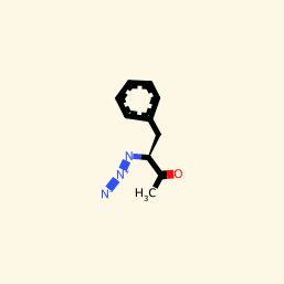 CC(=O)[C@H](Cc1ccccc1)N=[N+]=[N-]